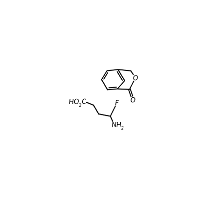 NC(F)CCC(=O)O.O=C1OCc2cccc1c2